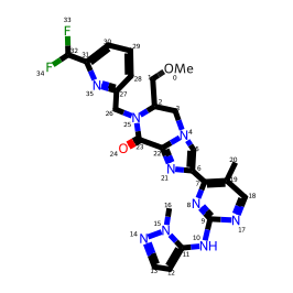 COCC1Cn2cc(-c3nc(Nc4ccnn4C)ncc3C)nc2C(=O)N1Cc1cccc(C(F)F)n1